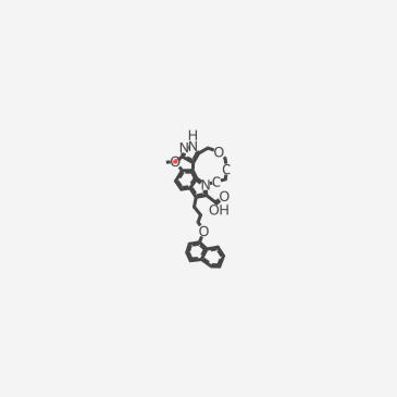 COc1ccc2c(CCCOc3cccc4ccccc34)c(C(=O)O)n3c2c1-c1c(C)n[nH]c1COCCCC3